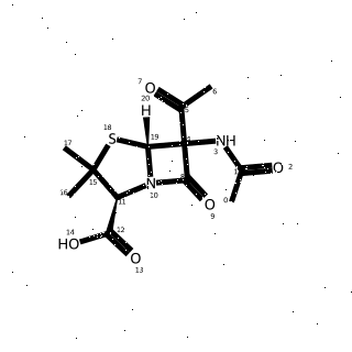 CC(=O)NC1(C(C)=O)C(=O)N2[C@@H](C(=O)O)C(C)(C)S[C@@H]21